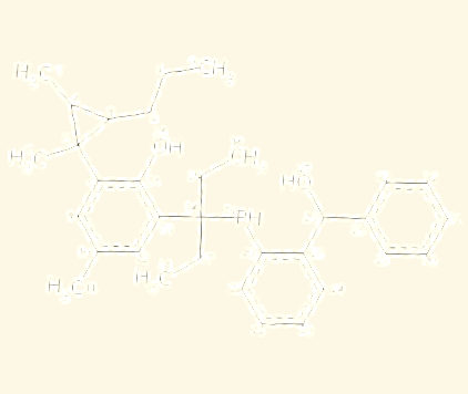 CCCC1C(C)C1(C)c1cc(C)cc(C(CC)(CC)Pc2ccccc2C(O)c2ccccc2)c1O